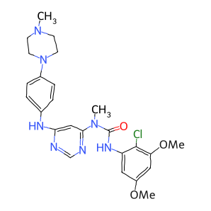 COc1cc(NC(=O)N(C)c2cc(Nc3ccc(N4CCN(C)CC4)cc3)ncn2)c(Cl)c(OC)c1